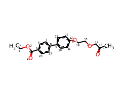 CCOC(=O)c1ccc(-c2ccc(OCCOCC(C)=O)cc2)cc1